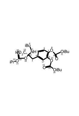 CCC(C)N[C@@](Cc1ccc(OC(=O)OCC(C)C)c(OC(=O)OCC(C)C)c1)(OC(=O)OC(C)C)C(=O)O